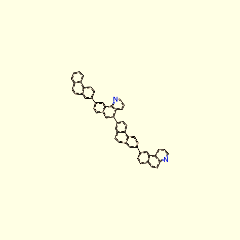 c1ccc2c(c1)ccc1cc(-c3ccc4cc(-c5ccc6c(ccc7cc(-c8ccc9ccc%10ncccc%10c9c8)ccc76)c5)c5cccnc5c4c3)ccc12